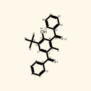 Cc1c(C(=S)c2ccccc2)cc(C(C)(C)C)c(O)c1C(=S)c1ccccc1